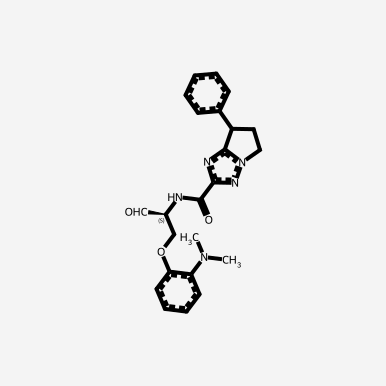 CN(C)c1ccccc1OC[C@@H](C=O)NC(=O)c1nc2n(n1)CCC2c1ccccc1